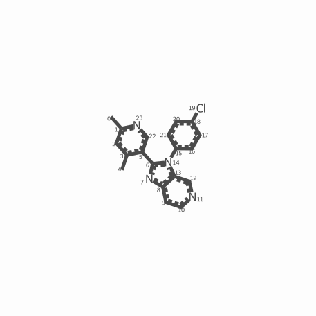 Cc1cc(C)c(-c2nc3ccncc3n2-c2ccc(Cl)cc2)cn1